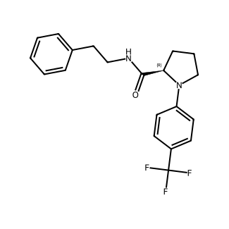 O=C(NCCc1ccccc1)[C@H]1CCCN1c1ccc(C(F)(F)F)cc1